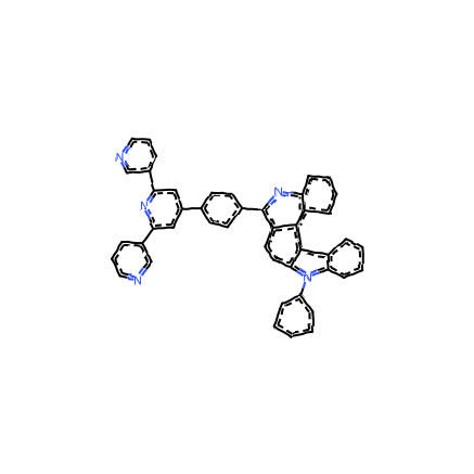 c1ccc(-n2c3ccccc3c3c4c(ccc32)c(-c2ccc(-c3cc(-c5cccnc5)nc(-c5cccnc5)c3)cc2)nc2ccccc24)cc1